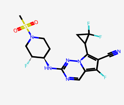 CS(=O)(=O)N1CC[C@@H](Nc2ncc3c(F)c(C#N)c(C4CC4(F)F)n3n2)[C@H](F)C1